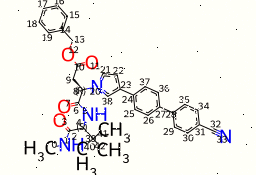 CNC(=O)[C@@H](NC(=O)[C@@H](CC(=O)OCc1ccccc1)n1ccc(-c2ccc(-c3ccc(C#N)cc3)cc2)c1)C(C)(C)C